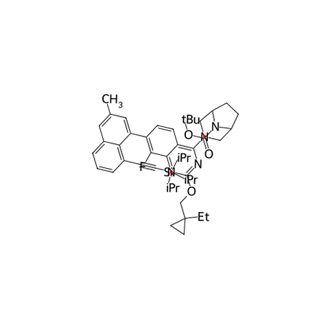 CCC1(COc2nc(N3CC4CCC(C3)N4C(=O)OC(C)(C)C)c3ccc(-c4cc(C)cc5cccc(C#C[Si](C(C)C)(C(C)C)C(C)C)c45)c(F)c3n2)CC1